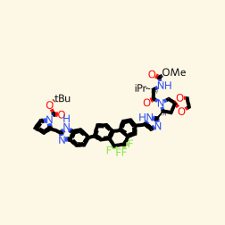 COC(=O)N[C@H](C(=O)N1CC2(C[C@H]1c1ncc(-c3ccc4c(c3)C(F)(F)C(F)(F)c3cc(-c5ccc6nc(-c7cccn7C(=O)OC(C)(C)C)[nH]c6c5)ccc3-4)[nH]1)OCCO2)C(C)C